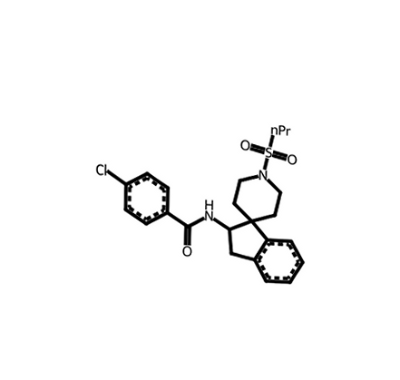 CCCS(=O)(=O)N1CCC2(CC1)c1ccccc1CC2NC(=O)c1ccc(Cl)cc1